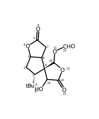 CC(C)(C)[C@@H]1CC2OC(=O)CC2[C@@]12C(OC=O)OC(=O)C2O